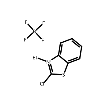 CC[n+]1c(Cl)sc2ccccc21.F[B-](F)(F)F